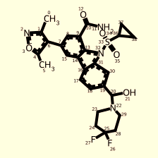 Cc1noc(C)c1-c1cc(C(N)=O)c2c(c1)c1ccc(C(O)N3CCC(F)(F)CC3)cc1n2S(=O)(=O)C1CC1